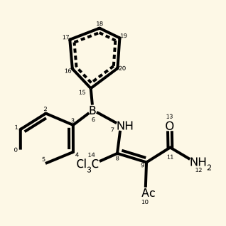 C/C=C\C(=C/C)B(N/C(=C(/C(C)=O)C(N)=O)C(Cl)(Cl)Cl)c1ccccc1